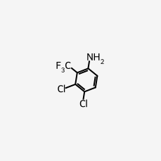 Nc1ccc(Cl)c(Cl)c1C(F)(F)F